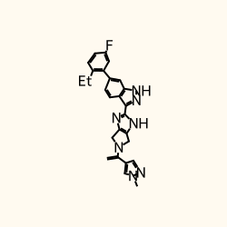 C=C(c1cnn(C)c1)N1Cc2nc(-c3n[nH]c4cc(-c5cc(F)ccc5CC)ccc34)[nH]c2C1